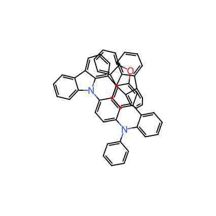 c1ccc(N(c2ccc3c(c2)C2(c4ccccc4-c4ccccc42)c2cccc4c5ccccc5n-3c24)c2ccccc2-c2ccc3c(c2)oc2ccccc23)cc1